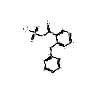 NS(=O)(=O)OC(=O)c1ccccc1Cc1ccccc1